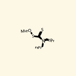 CCCN(CCC)C(=S)SOC